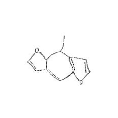 CC1c2ccoc2C=C2C=COC21